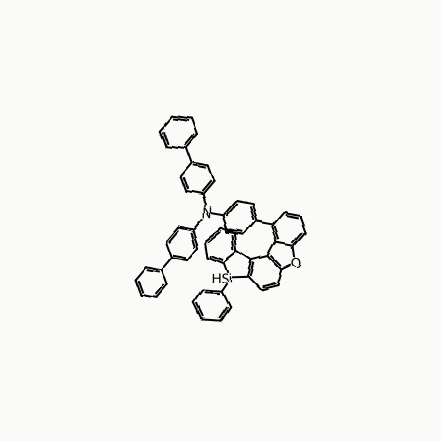 c1ccc(-c2ccc(N(c3ccc(-c4ccccc4)cc3)c3ccc(-c4cccc5oc6ccc7c(c6c45)-c4ccccc4[SiH]7c4ccccc4)cc3)cc2)cc1